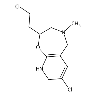 CN1CC2=C(NCC(Cl)=C2)OC(CCCl)C1